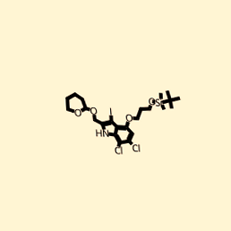 CC(C)(C)[Si](C)(C)OCCCOc1cc(Cl)c(Cl)c2[nH]c(COC3CCCCO3)c(I)c12